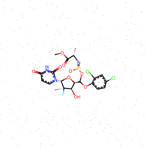 COC(=O)[C@H](C)/N=[P+](\[O-])OC(Oc1ccc(Cl)cc1Cl)[C@@H]1O[C@@H](n2ccc(=O)[nH]c2=O)[C@](C)(F)[C@@H]1O